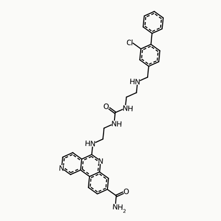 NC(=O)c1ccc2c(c1)nc(NCCNC(=O)NCCNCc1ccc(-c3ccccc3)c(Cl)c1)c1ccncc12